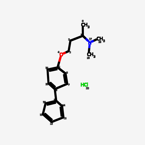 CC(CCOc1ccc(-c2ccccc2)cc1)N(C)C.Cl